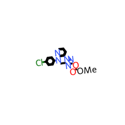 COC(=O)Oc1nc2n(n1)-c1cccnc1N(c1ccc(Cl)cc1)C2